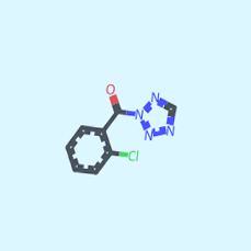 O=C(c1ccccc1Cl)n1ncnn1